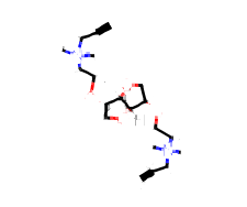 C#CC[N+](C)(C)CCO[C@H]1CO[C@H]2[C@@H]1OC[C@H]2OCC[N+](C)(C)CC#C